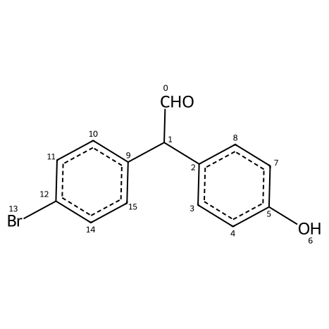 O=CC(c1ccc(O)cc1)c1ccc(Br)cc1